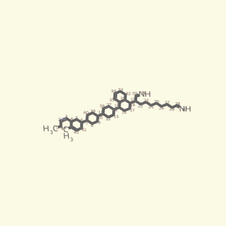 CC/C=C\C1CC(C2CCC(C3CCC(C4CCC(C(C=N)CCCCCCCC=N)C5CCC=CC45)CC3)CC2)CC=C1C